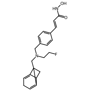 O=C(/C=C/c1ccc(CN(CCF)CC23CC4C2=CCC=C43)cc1)NO